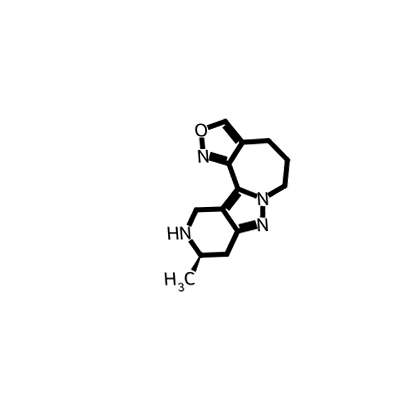 C[C@@H]1Cc2nn3c(c2CN1)-c1nocc1CCC3